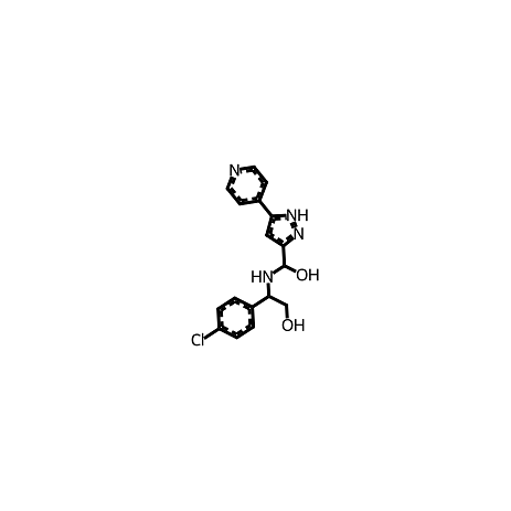 OCC(NC(O)c1cc(-c2ccncc2)[nH]n1)c1ccc(Cl)cc1